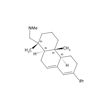 CNC[C@]1(C)CCC[C@]2(C)[C@H]3CCC(C(C)C)=CC3=CC[C@@H]12